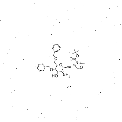 CC(C)(C)OC(=O)N1[C@@H](C#CC2OC(COCc3ccccc3)C(OCc3ccccc3)C(O)C2N)COC1(C)C